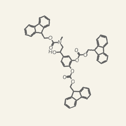 CN(CC(O)c1ccc(OC(=O)OCC2c3ccccc3-c3ccccc32)c(OC(=O)OCC2c3ccccc3-c3ccccc32)c1)C(=O)OCC1c2ccccc2-c2ccccc21